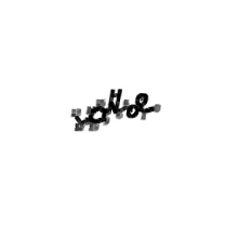 C=CC(=O)OCCNc1ccc(CC)cc1